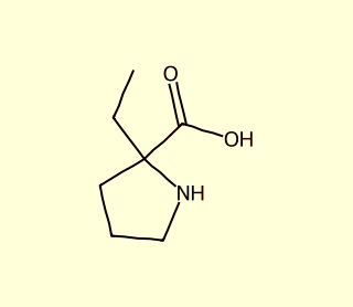 CCC1(C(=O)O)CCCN1